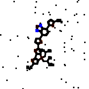 CCCCC(CC)CS1(CC(CC)CCCC)c2cc(C)sc2-c2sc(-c3ccc(-c4ccc(-c5ccc(C)s5)c5nsnc45)s3)cc21